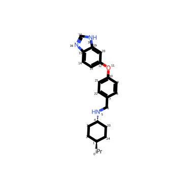 CC(C)[C@H]1CC[C@H](NCc2ccc(Oc3ccc4nc[nH]c4c3)cc2)CC1